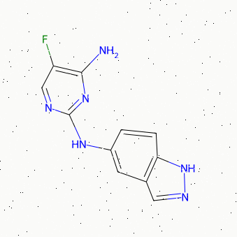 Nc1nc(Nc2ccc3[nH]ncc3c2)ncc1F